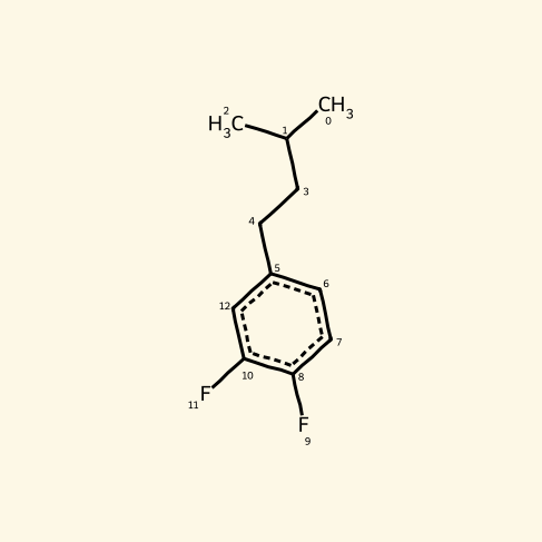 CC(C)CCc1ccc(F)c(F)c1